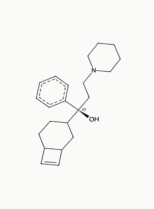 O[C@](CCN1CCCCC1)(c1ccccc1)C1CCC2C=CC2C1